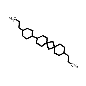 CCCC1CCC(C2CCC3(CC2)CC2(CCC(CCC)CC2)C3)CC1